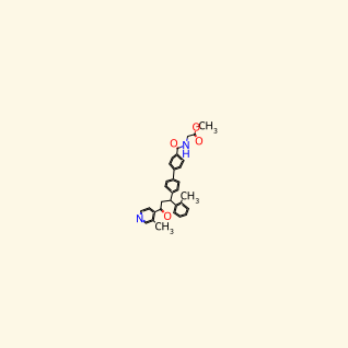 COC(=O)CNC(=O)c1ccc(-c2ccc(C(CC(=O)c3ccncc3C)c3ccccc3C)cc2)cc1